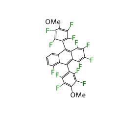 COc1c(F)c(F)c(-c2c3cccc(F)c3c(-c3c(F)c(F)c(OC)c(F)c3F)c3c(F)c(F)c(F)c(F)c23)c(F)c1F